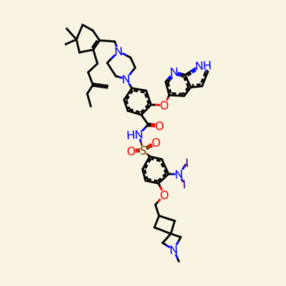 C=C(CC)CCC1=C(CN2CCN(c3ccc(C(=O)NS(=O)(=O)c4ccc(OCC5CC6(C5)CN(C)C6)c(N(I)I)c4)c(Oc4cnc5[nH]ccc5c4)c3)CC2)CCC(C)(C)C1